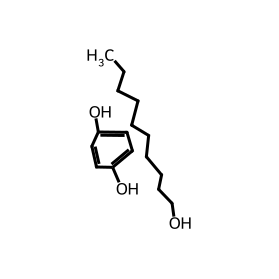 CCCCCCCCCCO.Oc1ccc(O)cc1